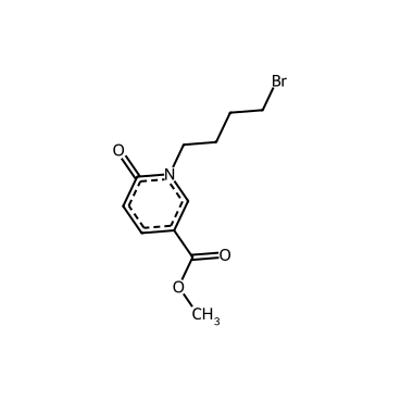 COC(=O)c1ccc(=O)n(CCCCBr)c1